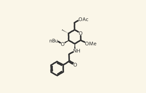 CCCCO[C@H]1[C@H](C)C(COC(C)=O)OC(OC)[C@H]1NCC(=O)c1ccccc1